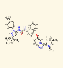 Cc1ccc(-n2nc(C(C)(C)C)cc2NC(=O)N[C@H]2CC[C@@H](Oc3ccc4nnc(C5CC(C)(C)CN5C)n4c3)c3ccccc32)cc1